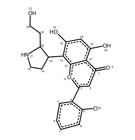 O=c1cc(-c2ccccc2Cl)oc2c(C3CCNC3CCO)c(O)cc(O)c12